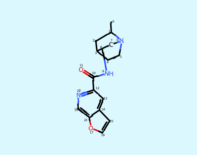 CC1CC2CCN1CC2NC(=O)c1cc2ccoc2cn1